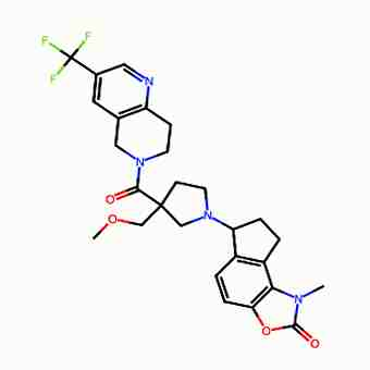 COCC1(C(=O)N2CCc3ncc(C(F)(F)F)cc3C2)CCN(C2CCc3c2ccc2oc(=O)n(C)c32)C1